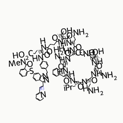 CNC(=O)c1ccccc1Sc1ccc2c(/C=C/c3ccccn3)nn(Cc3ccc(NC(=O)[C@H](CCC(=O)O)NC(=O)CCC(=O)N[C@H](C(=O)N[C@@H](CCN)C(=O)N[C@H]4CCNC(=O)[C@H]([C@@H](C)O)NC(=O)[C@H](CCN)NC(=O)[C@H](CCN)NC(=O)[C@H](CC(C)C)NC(=O)[C@@H](Cc5ccccc5)NC(=O)[C@H](CCN)NC4=O)[C@H](C)O)cc3)c2c1